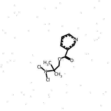 CC(C)(COC(=O)c1cccnc1)N(Cl)Cl